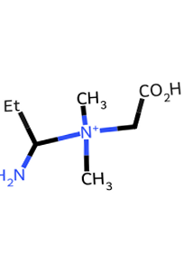 CCC(N)[N+](C)(C)CC(=O)O